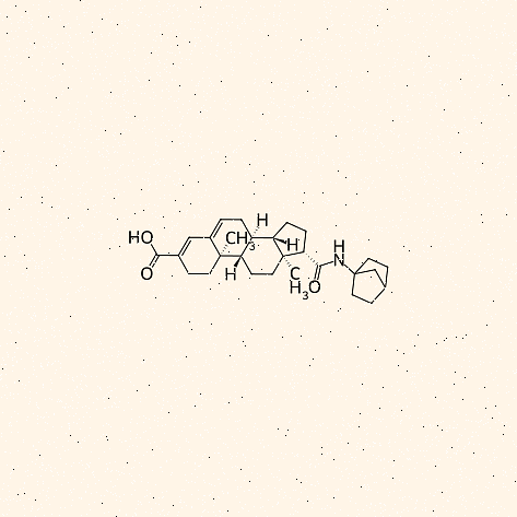 C[C@]12CC[C@H]3[C@@H](CC=C4C=C(C(=O)O)CC[C@@]43C)[C@@H]1CC[C@@H]2C(=O)NC12CCC(CC1)C2